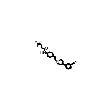 N#Cc1cccc(C2=CCN(CCC3CCC(NC(=O)CCC(F)(F)F)CC3)CC2)c1